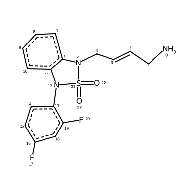 NCC=CCN1c2ccccc2N(c2ccc(F)cc2F)S1(=O)=O